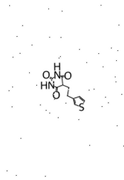 O=C1NC(=O)C(CCc2ccsc2)C(=O)N1